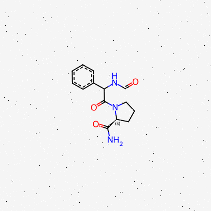 NC(=O)[C@@H]1CCCN1C(=O)C(NC=O)c1ccccc1